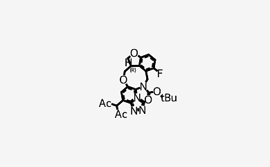 CC(=O)C(C(C)=O)c1cc2c(n3cnnc13)N(C(=O)OC(C)(C)C)Cc1c(F)ccc3c1[C@H](CO3)CO2